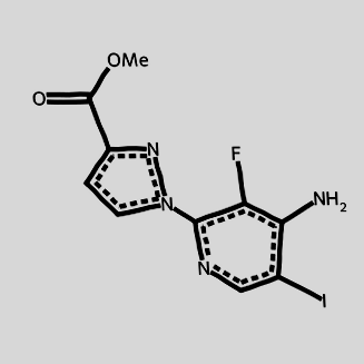 COC(=O)c1ccn(-c2ncc(I)c(N)c2F)n1